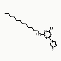 CCCCCCCCCCCCNc1nc(Cl)nc(N2C=CN(C)C2)n1